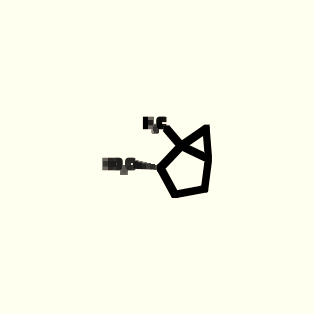 CC12CC1CC[C@@H]2C(=O)O